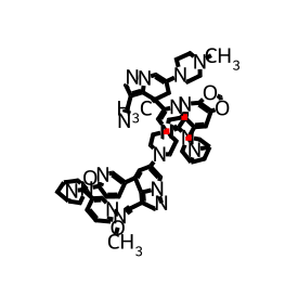 COc1ccc(C(=O)N2C3CC2CN(c2ccc(-c4cc(N5CCN(Cc6nc7c(cc6CN6C8CC6CN(c6cnc(C9(C)CC(N%10CCN(C)CC%10)=Cn%10ncc(C#N)c%109)cn6)C8)OCO7)CC5)cn5ncc(C#N)c45)cn2)C3)cn1